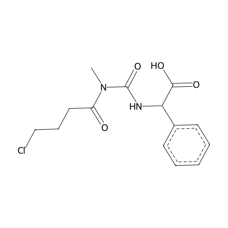 CN(C(=O)CCCCl)C(=O)NC(C(=O)O)c1ccccc1